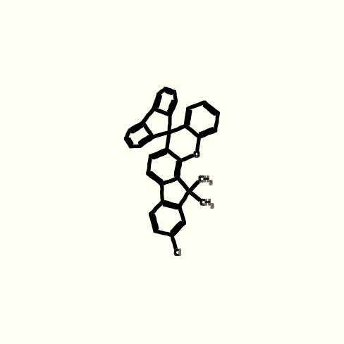 CC1(C)c2cc(Cl)ccc2-c2ccc3c(c21)Oc1ccccc1C31c2ccccc2-c2ccccc21